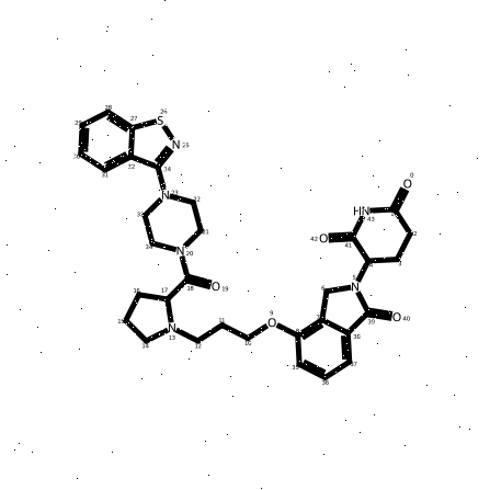 O=C1CCC(N2Cc3c(OCCCN4CCCC4C(=O)N4CCN(c5nsc6ccccc56)CC4)cccc3C2=O)C(=O)N1